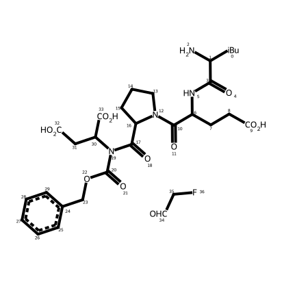 CCC(C)C(N)C(=O)NC(CCC(=O)O)C(=O)N1CCCC1C(=O)N(C(=O)OCc1ccccc1)C(CC(=O)O)C(=O)O.O=CCF